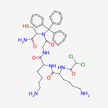 NCCCCC(NC(=O)C(Cl)Cl)C(=O)NC(CCCCN)C(=O)NCC(=O)N(C(CS)C(N)=O)C(c1ccccc1)(c1ccccc1)c1ccccc1